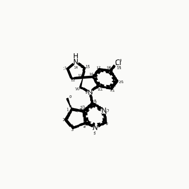 C[C@@H]1CCc2ncnc(N3C[C@]4(CCNC4)c4cc(Cl)ccc43)c21